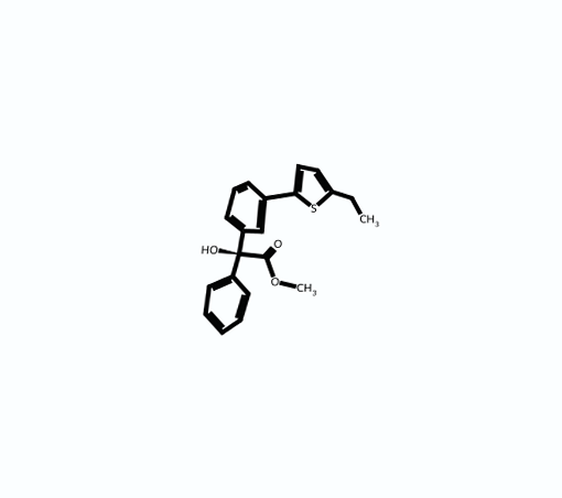 CCc1ccc(-c2cccc([C@](O)(C(=O)OC)c3ccccc3)c2)s1